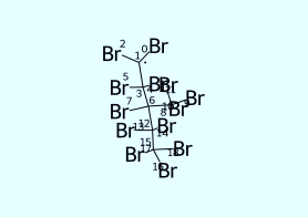 Br[C](Br)C(Br)(Br)C(Br)(C(Br)(Br)Br)C(Br)(Br)C(Br)(Br)Br